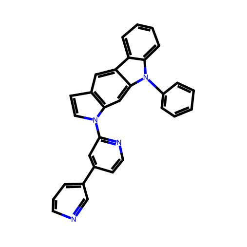 c1ccc(-n2c3ccccc3c3cc4ccn(-c5cc(-c6cccnc6)ccn5)c4cc32)cc1